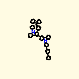 C1=CC([Si](c2ccccc2)(c2ccccc2)c2ccccc2)CC(n2c3ccccc3c3cc(-c4ccc5c(c4)c4ccccc4n5C4=CC=C(c5ccc(-c6ccccc6)cc5)CC4)ccc32)=C1